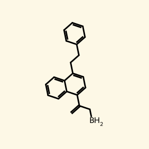 BCC(=C)c1ccc(CCc2ccccc2)c2ccccc12